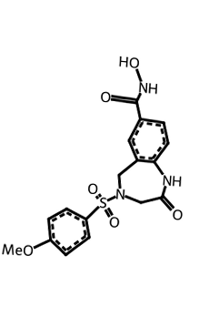 COc1ccc(S(=O)(=O)N2CC(=O)Nc3ccc(C(=O)NO)cc3C2)cc1